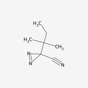 CCC(C)(C)C1(C#N)N=N1